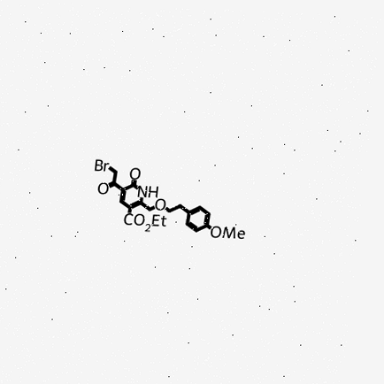 CCOC(=O)c1cc(C(=O)CBr)c(=O)[nH]c1COCCc1ccc(OC)cc1